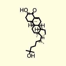 C[C@H](CCCC(C)(C)O)[C@H]1CC[C@H]2[C@@H]3CC=C4C(=O)[C@@H](O)CC[C@]4(C)[C@H]3CC[C@]12C